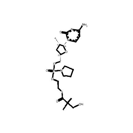 C[C@H]1C[C@@H](COP(=O)(OCCSC(=O)C(C)(C)CO)N2CCCC2)O[C@H]1n1ccc(N)nc1=O